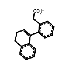 O=C(O)Cc1ccccc1C1=CCCc2ccccc21